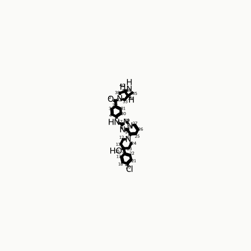 O=C(c1ccc(Nc2nc3c(N4CCC(O)(c5ccc(Cl)cc5)CC4)cccn3n2)cc1)N1C[C@H]2CN[C@H]2C1